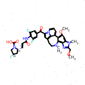 COCc1nc2c3c(c(OC)cc2n1C)-c1cccn2c(C(=O)c4cc(F)c(NC(=O)/C=C/[C@@H]5C[C@@H](F)CN5C(=O)O)c(F)c4)cc(c12)CCN3C